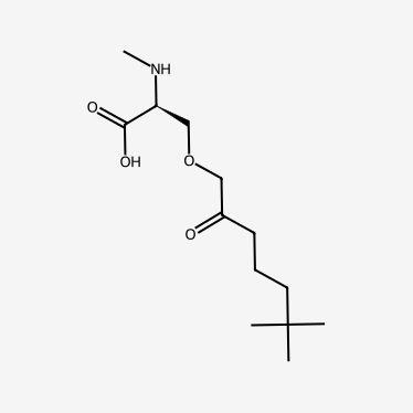 CN[C@@H](COCC(=O)CCCC(C)(C)C)C(=O)O